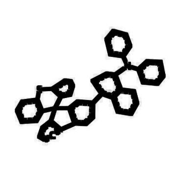 c1ccc(N(c2ccccc2)c2ccc(-c3ccc4c(c3)C3(c5ccccc5Sc5ccccc53)c3ccccc3-4)c3ccccc23)cc1